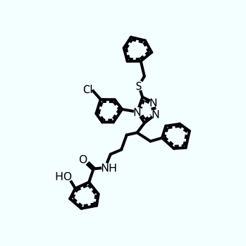 O=C(NCCCC(Cc1ccccc1)c1nnc(SCc2ccccc2)n1-c1cccc(Cl)c1)c1ccccc1O